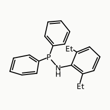 CCc1cccc(CC)c1NP(c1ccccc1)c1ccccc1